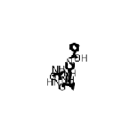 N#CCC1(N/C=C(\C(=N)NC(=O)C2CC2)C(N)=O)CCN(CC(O)c2ccccc2)CC1